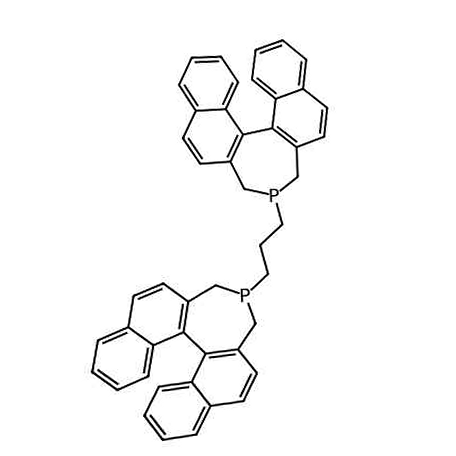 c1ccc2c3c(ccc2c1)CP(CCCP1Cc2ccc4ccccc4c2-c2c(ccc4ccccc24)C1)Cc1ccc2ccccc2c1-3